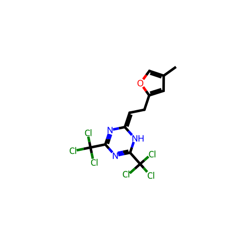 Cc1coc(C/C=C2/N=C(C(Cl)(Cl)Cl)N=C(C(Cl)(Cl)Cl)N2)c1